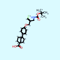 CC(C)(C)OC(=O)NCC(=CF)COc1ccc(C23CCC(C(=O)O)(CC2)CC3)cc1